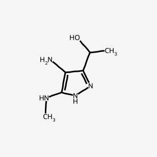 CNc1[nH]nc(C(C)O)c1N